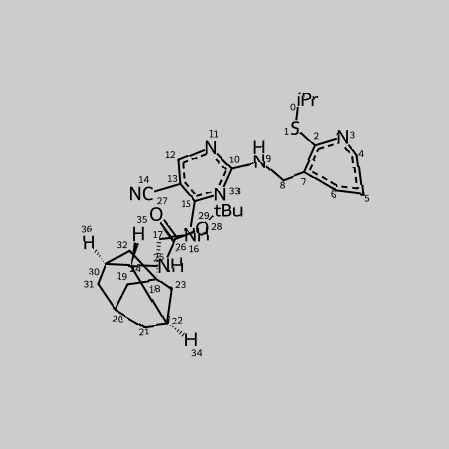 CC(C)Sc1ncccc1CNc1ncc(C#N)c(NC[C@@]23CC4C[C@H](C2)[C@@H](NC(=O)OC(C)(C)C)[C@@H](C4)C3)n1